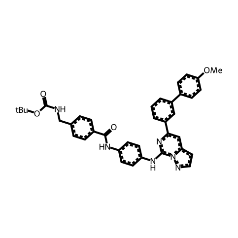 COc1ccc(-c2cccc(-c3cc4ccnn4c(Nc4ccc(NC(=O)c5ccc(CNC(=O)OC(C)(C)C)cc5)cc4)n3)c2)cc1